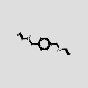 C=COCc1ccc(COC=C)cc1